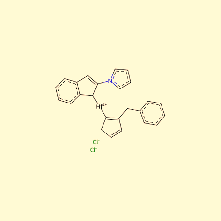 C1=CC(Cc2ccccc2)=[C]([Hf+2][CH]2C(n3cccc3)=Cc3ccccc32)C1.[Cl-].[Cl-]